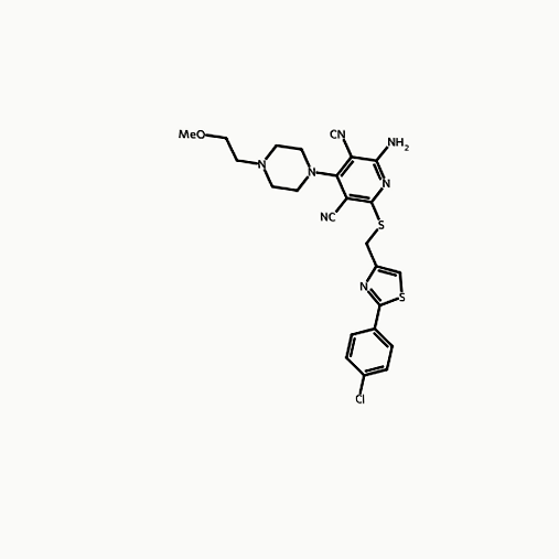 [C-]#[N+]c1c(N)nc(SCc2csc(-c3ccc(Cl)cc3)n2)c(C#N)c1N1CCN(CCOC)CC1